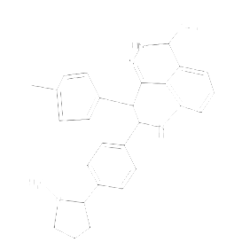 CN1CCCC1c1ccc(C2Nc3cccc4c3C(=NNC4C=O)C2c2ccc(F)cc2)cc1